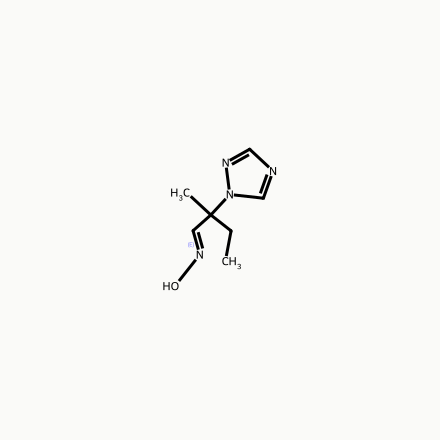 CCC(C)(/C=N/O)n1cncn1